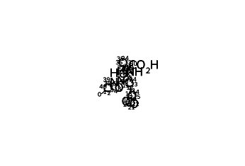 Cc1cc(C)c(NC(=O)Nc2cc(-c3ccc4c(c3)OCCO4)ccc2C(=O)N[C@H](C(=O)O)C2(C)CCCCC2)c(C)c1